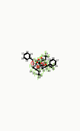 FC(F)(F)CC(F)(F)[C](F)(F)[Sn]([O]Cc1ccccc1)([O][Sn]([O]Cc1ccccc1)([C](F)(F)C(F)(F)CC(F)(F)F)[C](F)(F)C(F)(F)CC(F)(F)F)[C](F)(F)C(F)(F)CC(F)(F)F